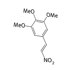 COc1cc(/C=C/[N+](=O)[O-])cc(OC)c1OC